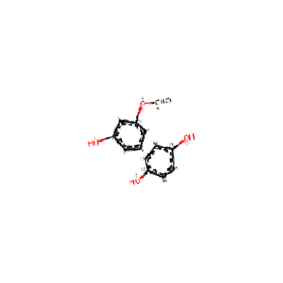 O=COc1cccc(O)c1.Oc1ccc(O)cc1